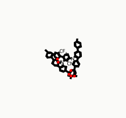 Cc1ccc(-c2ccc3c4ccc(-c5ccc(C)cc5)cc4n(-c4ccc(-c5c(C(F)(F)F)cccc5C(F)(F)F)c(-n5c6cc(-c7ccc(C)cc7)ccc6c6ccc(-c7ccc(C)cc7)cc65)c4C#N)c3c2)cc1